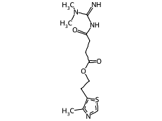 Cc1ncsc1CCOC(=O)CCC(=O)NC(=N)N(C)C